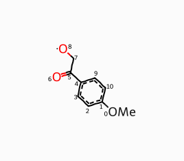 COc1ccc(C(=O)C[O])cc1